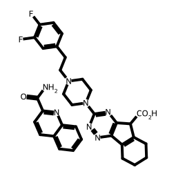 NC(=O)c1ccc2ccccc2n1.O=C(O)C1C2=C(CCCC2)c2nnc(N3CCN(CCc4ccc(F)c(F)c4)CC3)nc21